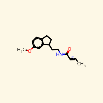 C/C=C/C(=O)NCCC1CCc2ccc(OC)cc21